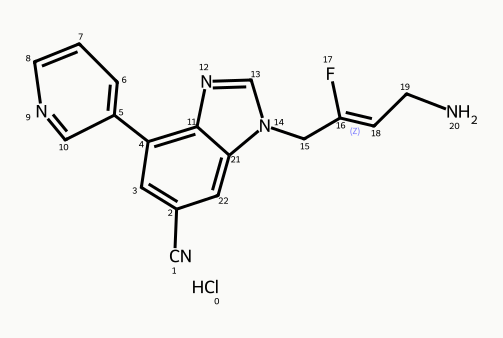 Cl.N#Cc1cc(-c2cccnc2)c2ncn(C/C(F)=C/CN)c2c1